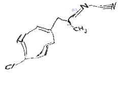 C/S(Cc1ccc(Cl)nc1)=N\C#N